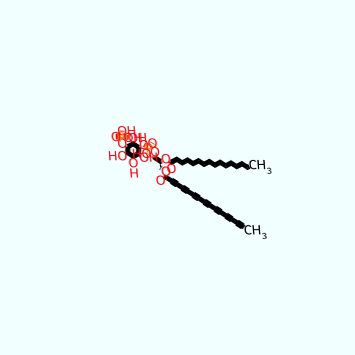 CC#CC#CC#CC#CC#CC#CC#CC(=O)OC[C@H](COP(=O)(O)OC1C(O)[C@H](O)[C@H](O)C(OP(=O)(O)O)[C@@H]1O)OC(=O)CCCCCCCCCCCCCCC